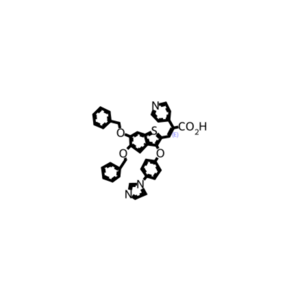 O=C(O)/C(=C/c1sc2cc(OCc3ccccc3)c(OCc3ccccc3)cc2c1Oc1ccc(-n2ccnc2)cc1)c1ccncc1